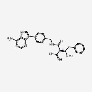 CN/C(Cc1ccccc1)=C(\C(=N)Cl)C(=O)NCc1ccc(-n2cnc3c(N)ncnc32)cc1